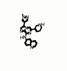 Cn1cc(-c2cnc3c(Nc4ccc5ncccc5c4)nc(C4=CCCNC4)cn23)cn1